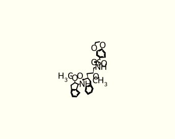 CO[C@H](CNS(=O)(=O)c1ccc2c(c1)OCCO2)C[C@@H](Cc1ccccc1)C(=O)N[C@H]1c2ccccc2C[C@H]1OC